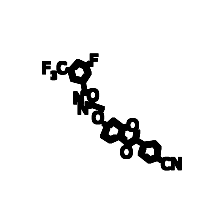 N#Cc1ccc(-c2coc3cc(OCc4nnc(-c5cc(F)cc(C(F)(F)F)c5)o4)ccc3c2=O)cc1